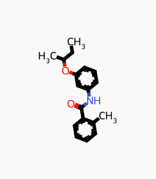 CCC(C)Oc1cccc(NC(=O)c2ccccc2C)c1